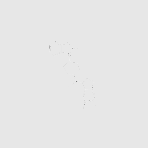 O=C(c1c[nH]c2cc(Cl)c(F)cc12)N1CCC(n2c(=O)[nH]c3ccccc32)CC1